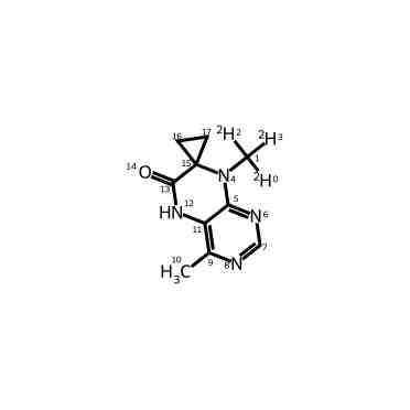 [2H]C([2H])([2H])N1c2ncnc(C)c2NC(=O)C12CC2